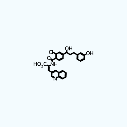 O=C(O)C(=Cc1cnc2ccccc2c1)NC(=O)c1ccc(C(O)CCc2cccc(O)c2)cc1Cl